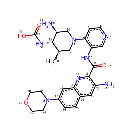 C[C@@H]1CN(c2ccncc2NC(=O)c2nc3cc(N4CCOCC4)ccc3cc2N)C[C@H](N)[C@H]1NC(=O)O